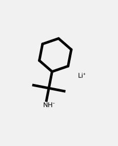 CC(C)([NH-])C1CCCCC1.[Li+]